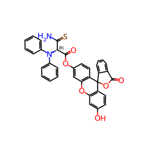 NC(=S)[C@@H](C(=O)Oc1ccc2c(c1)Oc1cc(O)ccc1C21OC(=O)c2ccccc21)N(c1ccccc1)c1ccccc1